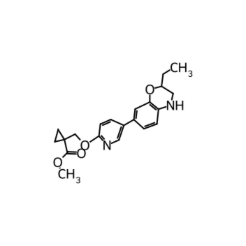 CCC1CNc2ccc(-c3ccc(OCC4(C(=O)OC)CC4)nc3)cc2O1